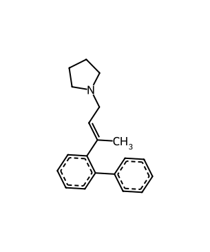 CC(=CCN1CCCC1)c1ccccc1-c1ccccc1